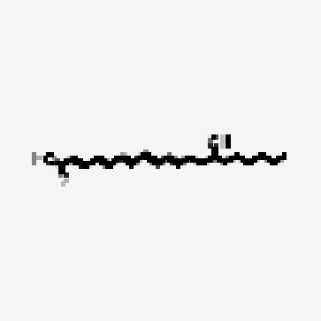 CCCCCCC(O)CCC=CC=CC=CC=CC=CC(=O)O